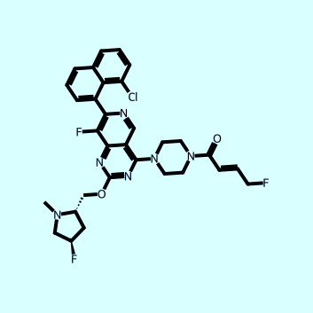 CN1C[C@H](F)C[C@H]1COc1nc(N2CCN(C(=O)/C=C/CF)CC2)c2cnc(-c3cccc4cccc(Cl)c34)c(F)c2n1